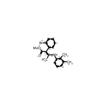 COC(=O)/C(=C(\C)Nc1cccc(C)c1C)c1ccccc1Br